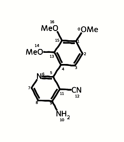 COc1ccc(-c2nccc(N)c2C#N)c(OC)c1OC